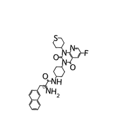 N[C@@H](Cc1ccc2ccccc2c1)C(=O)NC1CCC(n2c(=O)c3cc(F)cnc3n(C3CCSCC3)c2=O)CC1